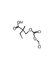 CCC(C)(COC(=O)OCCl)C(=O)O